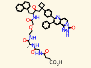 C[C@@H](NC(=O)CNC(=O)CCC(=O)O)C(=O)NCCOCC(=O)N[C@@H](Cc1cccc2ccccc12)C(=O)CC1(c2ccc(-c3nc4ccn5c(=O)[nH]nc5c4cc3-c3ccccc3)cc2)CCC1